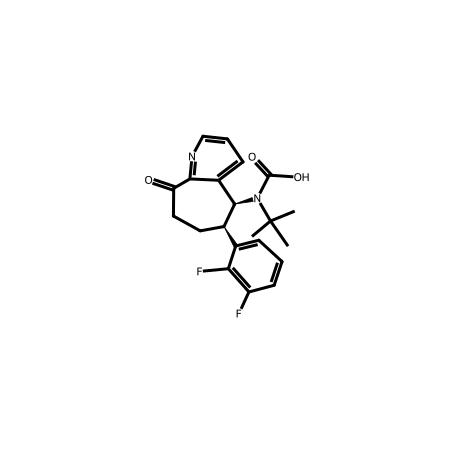 CC(C)(C)N(C(=O)O)[C@@H]1c2cccnc2C(=O)CC[C@@H]1c1cccc(F)c1F